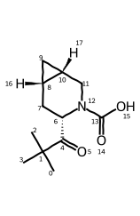 CC(C)(C)C(=O)[C@@H]1C[C@@H]2C[C@@H]2CN1C(=O)O